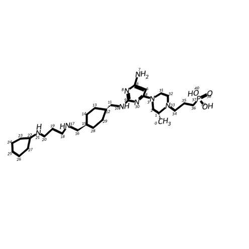 C[C@@H]1CN(c2cc(N)nc(NC[C@H]3CC[C@H](CNCCCNC4CCCCC4)CC3)n2)CCN1CCCP(=O)(O)O